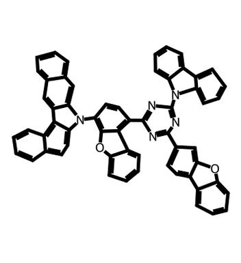 c1ccc2cc3c(cc2c1)c1c2ccccc2ccc1n3-c1ccc(-c2nc(-c3ccc4c(c3)oc3ccccc34)nc(-n3c4ccccc4c4ccccc43)n2)c2c1oc1ccccc12